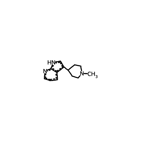 CN1CCC(c2c[nH]c3ncccc23)CC1